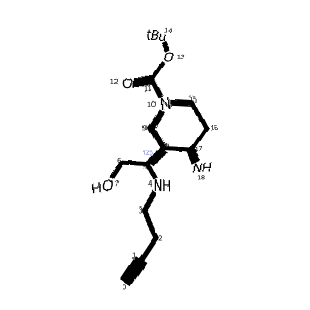 C#CCCN/C(CO)=C1/CN(C(=O)OC(C)(C)C)CCC1=N